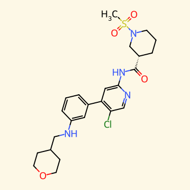 CS(=O)(=O)N1CCC[C@H](C(=O)Nc2cc(-c3cccc(NCC4CCOCC4)c3)c(Cl)cn2)C1